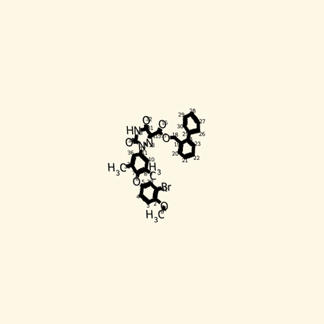 COc1ccc(Oc2c(C)cc(-n3nc(C(=O)OCc4ccccc4-c4ccccc4)c(=O)[nH]c3=O)cc2C)cc1Br